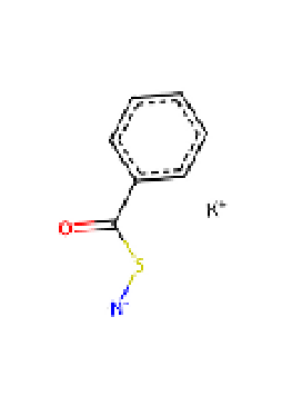 [K+].[N-]SC(=O)c1ccccc1